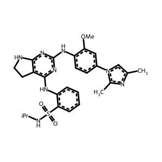 COc1cc(-n2cc(C)nc2C)ccc1Nc1nc2c(c(Nc3ccccc3S(=O)(=O)NC(C)C)n1)CCN2